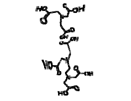 O=C(O)CN(CC(=O)O)CC(=O)O.O=C(O)CN(CCN(CC(=O)O)CC(=O)O)CC(=O)O